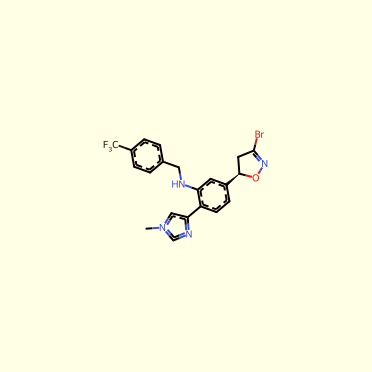 Cn1cnc(-c2ccc([C@H]3CC(Br)=NO3)cc2NCc2ccc(C(F)(F)F)cc2)c1